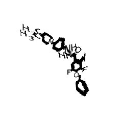 CC1(C)CCN(c2ccc(NNC(=O)c3cc(F)c(OCc4ccccc4)c(F)c3I)cc2)CC1